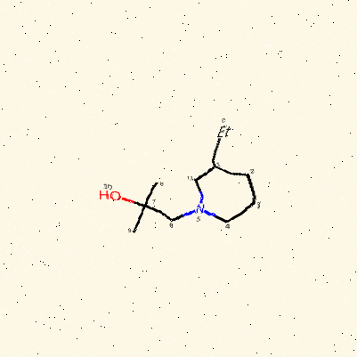 CCC1CCCN(CC(C)(C)O)C1